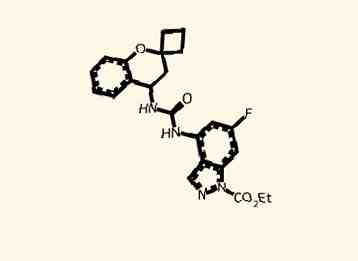 CCOC(=O)n1ncc2c(NC(=O)NC3CC4(CCC4)Oc4ccccc43)cc(F)cc21